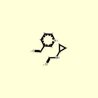 O=CNC1CC1.O=Cc1cccnc1